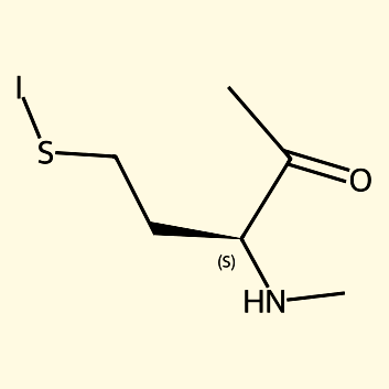 CN[C@@H](CCSI)C(C)=O